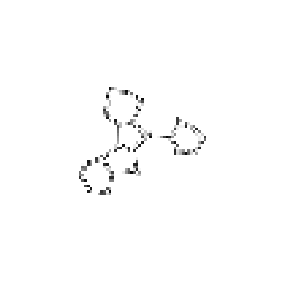 c1cnc(-n2c3ccccc3c3c4ccccc4sc32)nc1